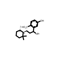 CCCC(CC[C@@H]1[C@@H](C)CCCC1(C)C)c1cc(O)ccc1C(=O)O